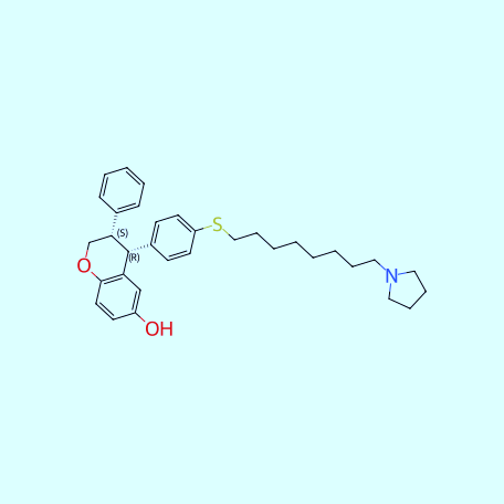 Oc1ccc2c(c1)[C@@H](c1ccc(SCCCCCCCCN3CCCC3)cc1)[C@@H](c1ccccc1)CO2